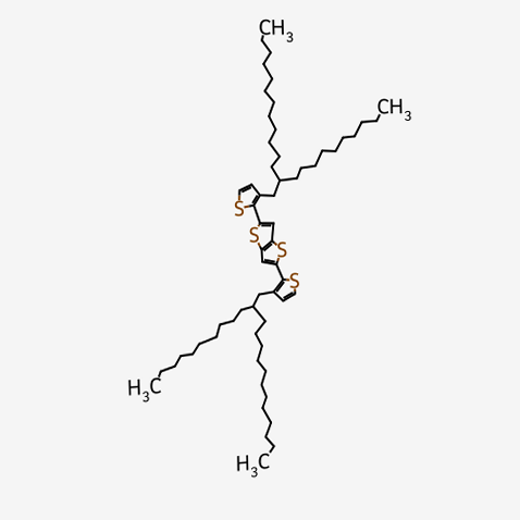 CCCCCCCCCCCCC(CCCCCCCCCC)Cc1ccsc1-c1cc2sc(-c3sccc3CC(CCCCCCCCCC)CCCCCCCCCCCC)cc2s1